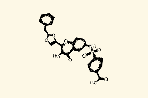 O=C(O)c1ccc(S(=O)(=O)Nc2ccc3oc(C4=COC(Cc5ccccc5)O4)c(O)c(=O)c3c2)cc1